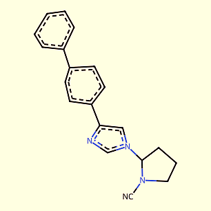 N#CN1CCCC1n1cnc(-c2ccc(-c3ccccc3)cc2)c1